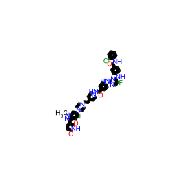 Cn1nc(C2CCC(=O)NC2=O)c2cc(F)c(N3CCN(CCC4CCN(NC(=O)c5ccc(Nc6ncc(F)c(Nc7ccc(C(=O)Nc8ccccc8Cl)cc7)n6)cc5)CC4)CC3)cc21